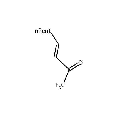 CCCCC/C=C/C(=O)C(F)(F)F